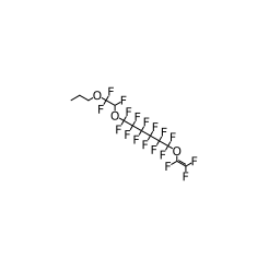 CCCOC(F)(F)C(F)OC(F)(F)C(F)(F)C(F)(F)C(F)(F)C(F)(F)C(F)(F)OC(F)=C(F)F